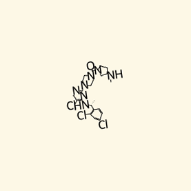 CNC1CCN(C(=O)N2CCN(c3ncc(Cl)c(N[C@H](C)c4ccc(Cl)cc4Cl)n3)CC2)C1